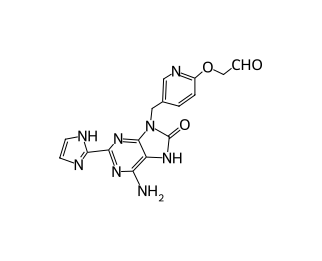 Nc1nc(-c2ncc[nH]2)nc2c1[nH]c(=O)n2Cc1ccc(OCC=O)nc1